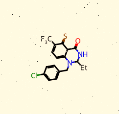 CCC1NC(=O)C2C(=S)C(C(F)(F)F)=CC=C2N1Cc1ccc(Cl)cc1